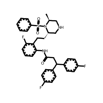 C[C@H]1CNC[C@H](CCc2c(F)cccc2NC(=O)CC(c2ccc(F)cc2)c2ccc(F)cc2)N1S(=O)(=O)c1ccccc1